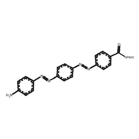 CCCCCC(=O)c1ccc(N=Nc2ccc(N=Nc3ccc(N)cc3)cc2)cc1